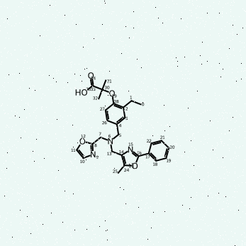 CCc1cc(CN(Cc2ncco2)Cc2nc(-c3ccccc3)oc2C)ccc1OC(C)(C)C(=O)O